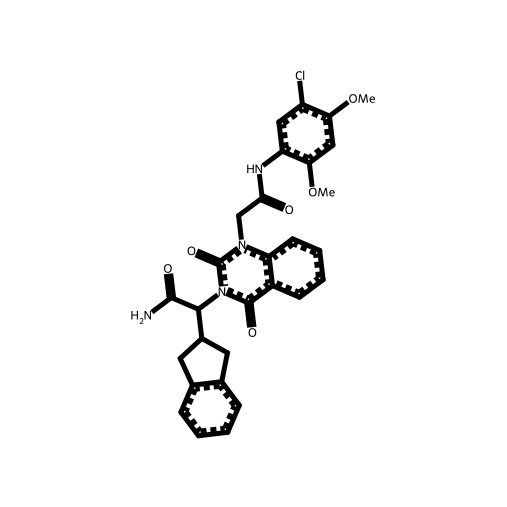 COc1cc(OC)c(NC(=O)Cn2c(=O)n(C(C(N)=O)C3Cc4ccccc4C3)c(=O)c3ccccc32)cc1Cl